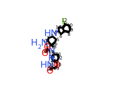 NC1CC(NC2Cc3cccc(F)c3C2)CCC12CN(c1ccc3c(n1)NC(=O)CO3)C(=O)O2